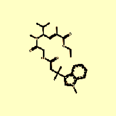 CCOC(=O)/C(C)=C/[C@H](C(C)C)N(C)C(=O)CNC(=O)CC(C)(C)c1cn(C)c2ccccc12